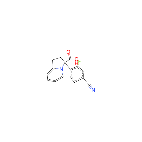 N#Cc1ccc(C2(C(=O)O)CCC3=CC=C=CN32)c(F)c1